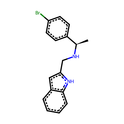 C[C@@H](NCc1cc2ccccc2[nH]1)c1ccc(Br)cc1